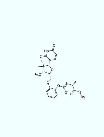 CC(=O)O[C@H]1[C@@H](COc2ccccc2O[P+]([O-])=N[C@@H](C)C(=O)OC(C)C)O[C@@H](n2ccc(=O)[nH]c2=O)C1(C)F